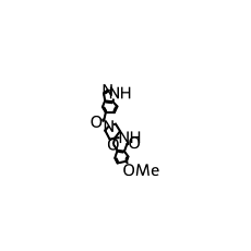 COc1ccc2c(c1)C(=O)NC1(CCN(C(=O)c3ccc4[nH]ncc4c3)CC1)O2